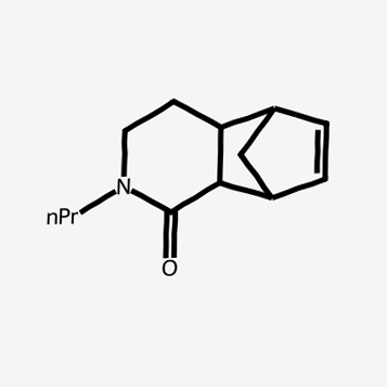 CCCN1CCC2C3C=CC(C3)C2C1=O